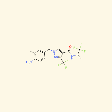 Cc1cc(Cn2cc(C(=O)NC(C)C(F)(F)F)c(C(F)(F)F)n2)ccc1N